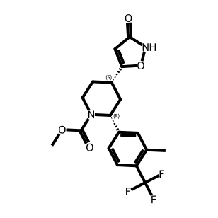 COC(=O)N1CC[C@H](c2cc(=O)[nH]o2)C[C@@H]1c1ccc(C(F)(F)F)c(C)c1